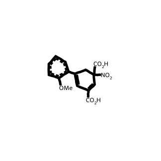 COc1ccccc1C1=CC(C(=O)O)=CC(C(=O)O)([N+](=O)[O-])C1